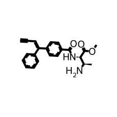 C#C/C=C(\c1ccccc1)c1ccc(C(=O)N[C@H](C(=O)OC)[C@@H](C)N)cc1